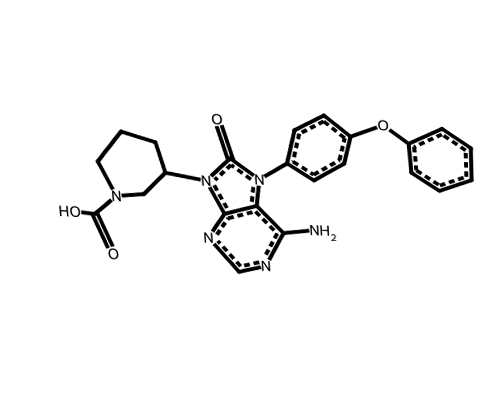 Nc1ncnc2c1n(-c1ccc(Oc3ccccc3)cc1)c(=O)n2C1CCCN(C(=O)O)C1